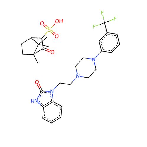 CC12CCC(C(S(=O)(=O)O)C1=O)C2(C)C.O=c1[nH]c2ccccc2n1CCN1CCN(c2cccc(C(F)(F)F)c2)CC1